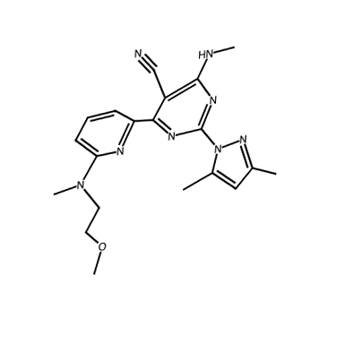 CNc1nc(-n2nc(C)cc2C)nc(-c2cccc(N(C)CCOC)n2)c1C#N